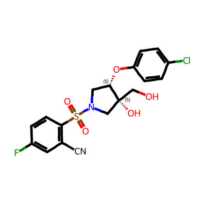 N#Cc1cc(F)ccc1S(=O)(=O)N1C[C@H](Oc2ccc(Cl)cc2)[C@@](O)(CO)C1